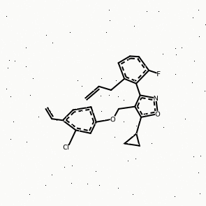 C=CCc1cccc(F)c1-c1noc(C2CC2)c1COc1ccc(C=C)c(Cl)c1